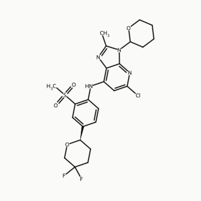 Cc1nc2c(Nc3ccc([C@H]4CCC(F)(F)CO4)cc3S(C)(=O)=O)cc(Cl)nc2n1C1CCCCO1